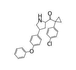 O=C(C1CC(c2ccc(Oc3ccccc3)cc2)CN1)C1(c2ccc(Cl)cc2)CC1